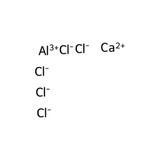 [Al+3].[Ca+2].[Cl-].[Cl-].[Cl-].[Cl-].[Cl-]